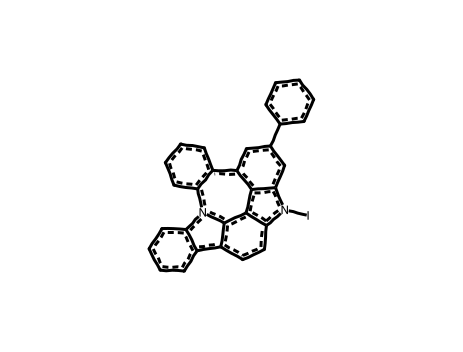 In1c2cc(-c3ccccc3)cc3c4ccccc4n4c5ccccc5c5ccc1c(c32)c54